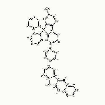 N#Cc1ccc2c(c1)C(c1ccccc1)(c1ccccc1)c1cc(-c3ccc(-c4ccc5oc6nc7ccccc7nc6c5c4)cc3)ccc1-2